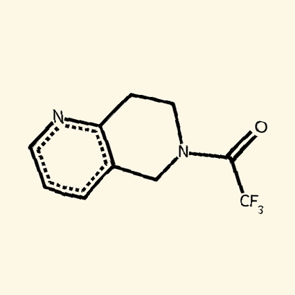 O=C(N1CCc2ncccc2C1)C(F)(F)F